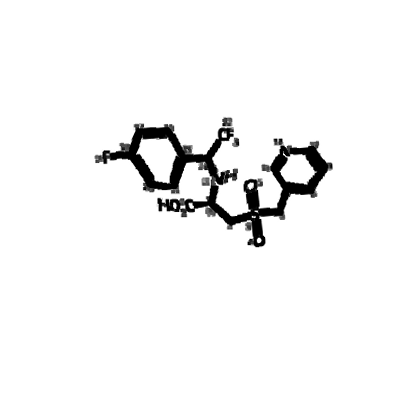 O=C(O)[C@H](CS(=O)(=O)Cc1cccnc1)NC(c1ccc(F)cc1)C(F)(F)F